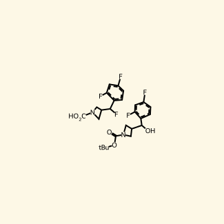 CC(C)(C)OC(=O)N1CC(C(O)c2ccc(F)cc2F)C1.O=C(O)N1CC(C(F)c2ccc(F)cc2F)C1